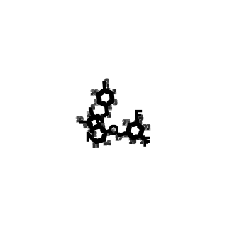 Cc1ccc(Cn2c(C)c(C)c3nccc(OCc4cc(F)cc(F)c4)c32)cc1